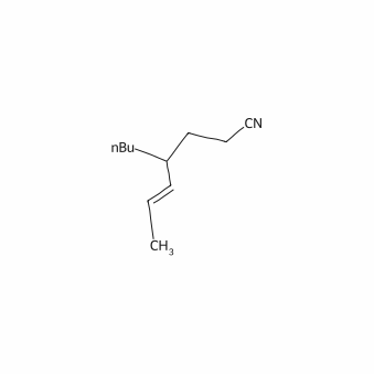 CC=CC(CCC#N)CCCC